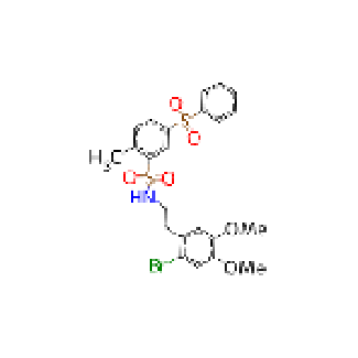 COc1cc(Br)c(CCNS(=O)(=O)c2cc(S(=O)(=O)c3ccccc3)ccc2C)cc1OC